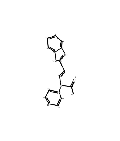 CC(=O)N(C=Cc1nc2ccccc2s1)c1ccccc1